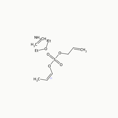 C=C.C=CCOS(=O)(=O)O/C=C\C.CCOCC.N